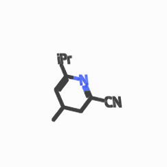 CC1C=C(C(C)C)N=C(C#N)C1